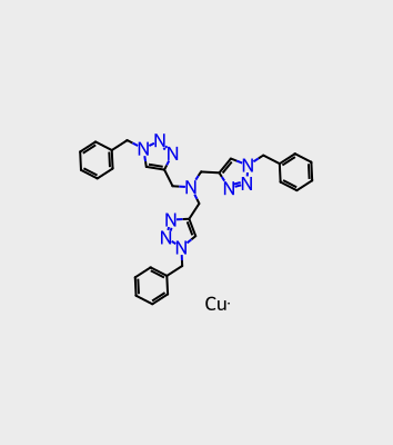 [Cu].c1ccc(Cn2cc(CN(Cc3cn(Cc4ccccc4)nn3)Cc3cn(Cc4ccccc4)nn3)nn2)cc1